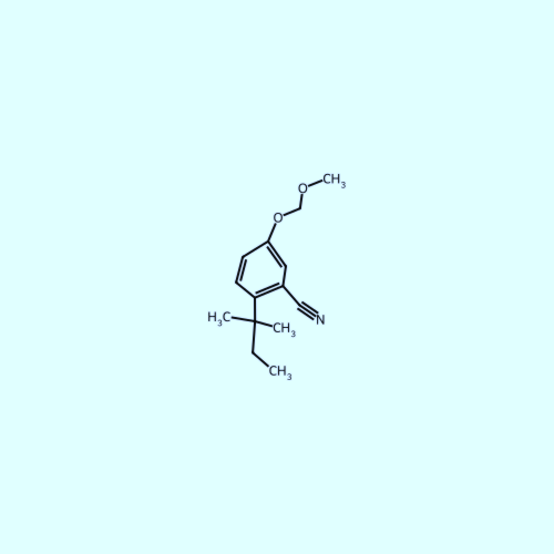 CCC(C)(C)c1ccc(OCOC)cc1C#N